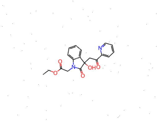 CCOC(=O)CN1C(=O)C(O)(CC(=O)c2ccccn2)c2ccccc21